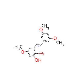 COc1cc(/C=C/c2cc(OC)cc(O)c2Br)cc(OC)c1